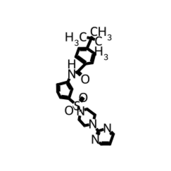 CC(C)(C)c1ccc(C(=O)Nc2cccc(S(=O)(=O)N3CCN(c4ncccn4)CC3)c2)cc1